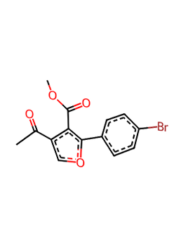 COC(=O)c1c(C(C)=O)coc1-c1ccc(Br)cc1